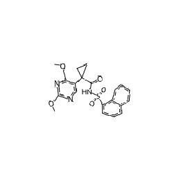 COc1ncc(C2(C(=O)NS(=O)(=O)c3cccc4ccccc34)CC2)c(OC)n1